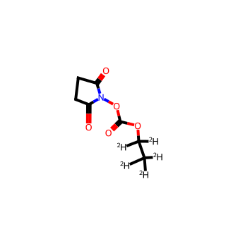 [2H]C([2H])([2H])C([2H])([2H])OC(=O)ON1C(=O)CCC1=O